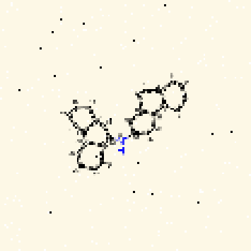 c1ccc2c(c1)ccc1cc(Nc3cc4ccccc4c4ccccc34)ccc12